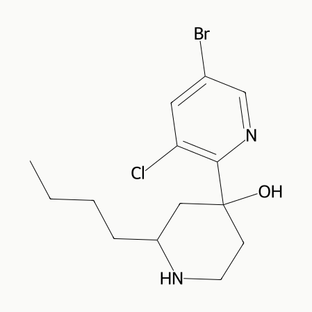 CCCCC1CC(O)(c2ncc(Br)cc2Cl)CCN1